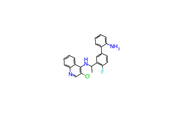 CC(Nc1c(Cl)cnc2ccccc12)c1cc(-c2ccccc2N)ccc1F